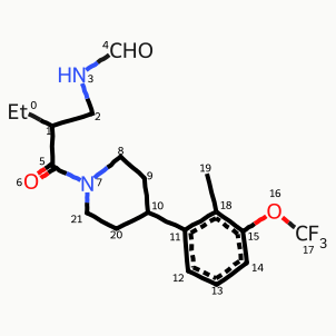 CCC(CNC=O)C(=O)N1CCC(c2cccc(OC(F)(F)F)c2C)CC1